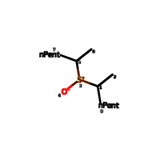 CCCCCC(C)[S+]([O-])C(C)CCCCC